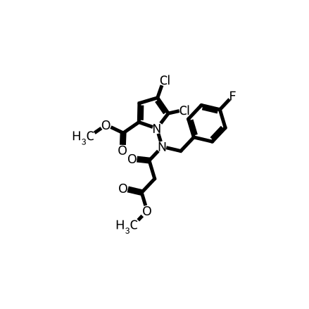 COC(=O)CC(=O)N(Cc1ccc(F)cc1)n1c(C(=O)OC)cc(Cl)c1Cl